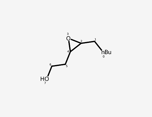 CCCCCC1OC1CCO